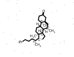 CC(C)CCC[C@@H](C)[C@H]1CC[C@H]2[C@@H]3[C@@H](C)C=C4CC(=O)CC[C@]4(C)[C@H]3CC[C@]12C